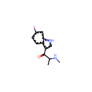 CNC(C)C(=O)c1c[nH]c2cc(I)ccc12